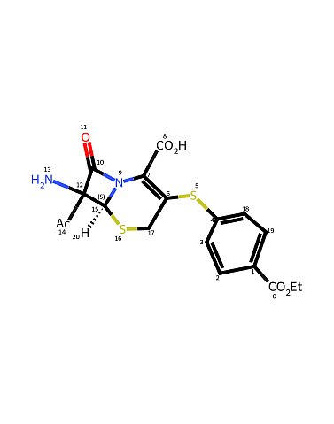 CCOC(=O)c1ccc(SC2=C(C(=O)O)N3C(=O)C(N)(C(C)=O)[C@@H]3SC2)cc1